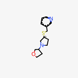 c1cncc(CS[C@@H]2CCN(C3CCOC3)C2)c1